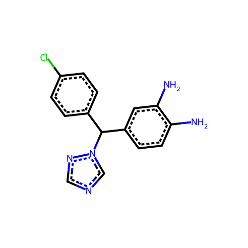 Nc1ccc(C(c2ccc(Cl)cc2)n2cncn2)cc1N